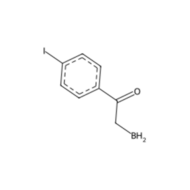 BCC(=O)c1ccc(I)cc1